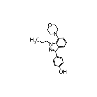 CCCn1nc(-c2ccc(O)cc2)c2cccc(N3CCOCC3)c21